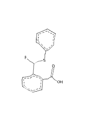 O=C(O)c1ccccc1C(F)Sc1ccccc1